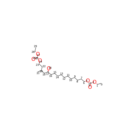 CCOC(=O)OCCCCCCCCCCCC(=O)CC(C)CCOC(=O)OCC